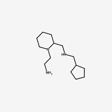 NCCN1CCCCC1CNCC1CCCC1